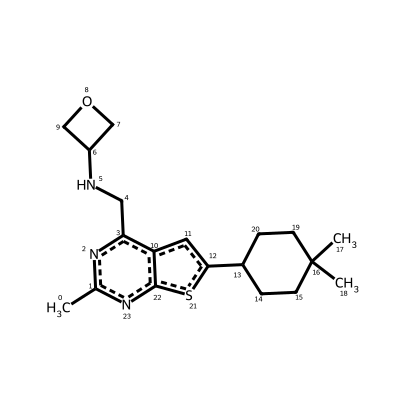 Cc1nc(CNC2COC2)c2cc(C3CCC(C)(C)CC3)sc2n1